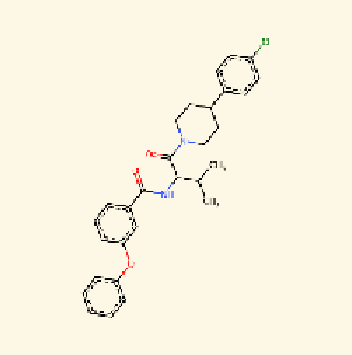 CC(C)C(NC(=O)c1cccc(Oc2ccccc2)c1)C(=O)N1CCC(c2ccc(Cl)cc2)CC1